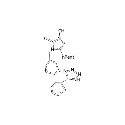 CCCCCc1cn(C)c(=O)n1Cc1ccc(-c2ccccc2-c2nnn[nH]2)nc1